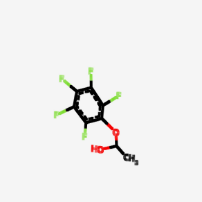 CC(O)Oc1c(F)c(F)c(F)c(F)c1F